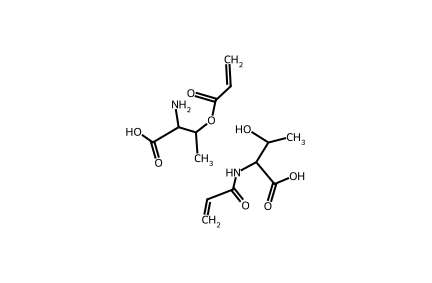 C=CC(=O)NC(C(=O)O)C(C)O.C=CC(=O)OC(C)C(N)C(=O)O